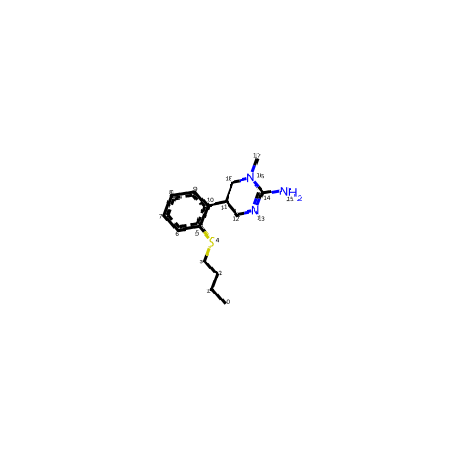 CCCCSc1ccccc1C1CN=C(N)N(C)C1